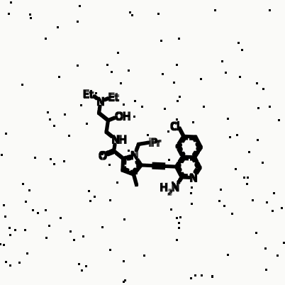 CCN(CC)CC(O)CNC(=O)c1cc(C)c(C#Cc2c(N)ncc3ccc(Cl)cc23)n1CC(C)C